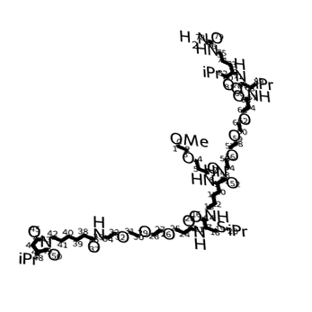 COCCOCCC(=O)NC(CCCCNC(=O)C(CSC(C)C)NC(=O)CCOCCOCCOCCNC(=O)CCCCCN1C(=O)CC(C(C)C)C1=O)C(=O)NCCOCCOCCOCCC(=O)NC(C(=O)NC(CCCNC(N)=O)C(=O)C(C)C)C(C)C